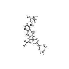 C=CC(=O)Nc1cc(Nc2cc(Nc3ccc(OC)c(Cl)c3)ncn2)c(OC)cc1N1CCN(C2CCN(C)CC2)CC1